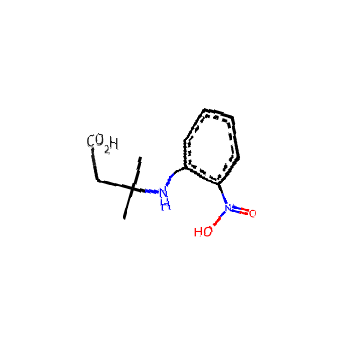 CC(C)(CC(=O)O)Nc1ccccc1[N+](=O)O